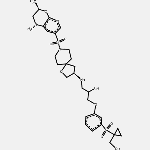 C[C@@H]1CN(C)c2cc(S(=O)(=O)N3CCC4(CC3)C[C@@H](NCC(O)COc3cccc(S(=O)(=O)C5(CO)CC5)c3)CO4)cnc2O1